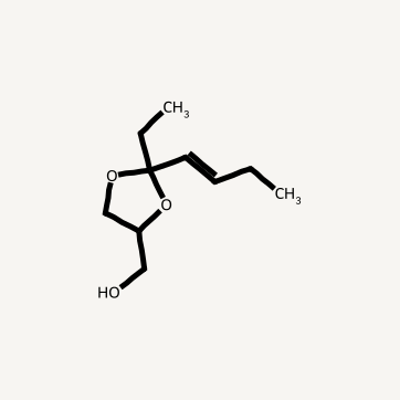 CCC=CC1(CC)OCC(CO)O1